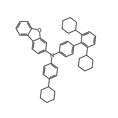 c1cc(C2CCCCC2)c(-c2ccc(N(c3ccc(C4CCCCC4)cc3)c3ccc4c(c3)oc3ccccc34)cc2)c(C2CCCCC2)c1